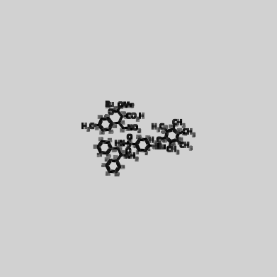 CC(C)(C)c1ccc(S(=O)(=O)N[C@@H](c2ccccc2)[C@@H](N)c2ccccc2)cc1.COC(=O)C(C(=O)O)C(C[N+](=O)[O-])c1ccc(C)cc1.Cc1c(C)c(C)c(C)c(C)c1C.[Ru]